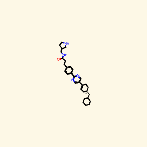 O=C(CCc1ccc(-c2ncc(C3=CC[C@H](CC4CCCCC4)CC3)cn2)cc1)NCC1CCNC1